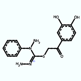 N/N=C(/SCC(=O)c1ccc(O)c(O)c1)N(N)c1ccccc1